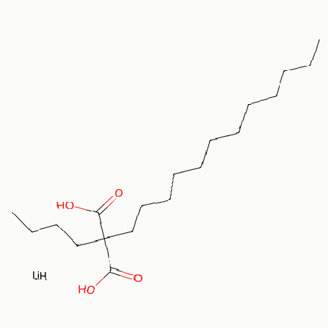 CCCCCCCCCCCCC(CCCC)(C(=O)O)C(=O)O.[LiH]